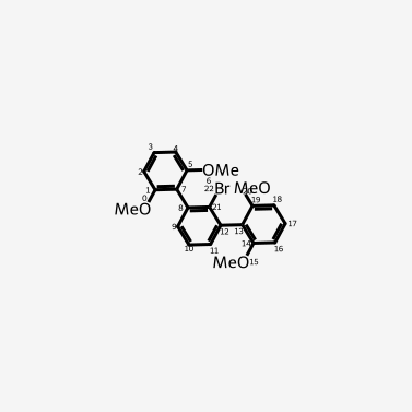 COc1cccc(OC)c1-c1cccc(-c2c(OC)cccc2OC)c1Br